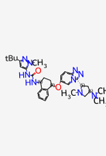 CN(C)[C@H]1C[C@@H](c2nnc3ccc(O[C@@H]4CC[C@H](NC(=O)Nc5cc(C(C)(C)C)nn5C)c5ccccc54)cn23)N(C)C1